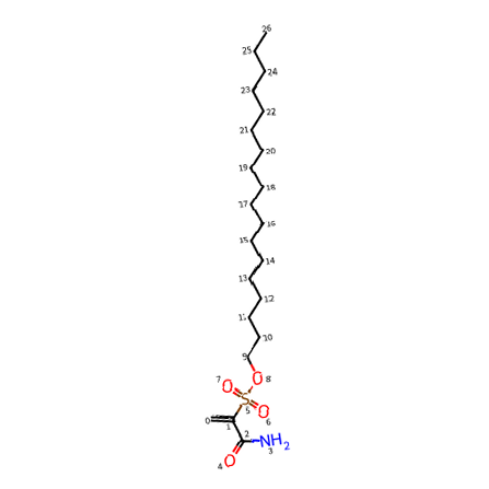 C=C(C(N)=O)S(=O)(=O)OCCCCCCCCCCCCCCCCCC